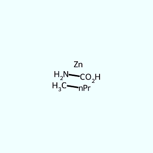 CCCC.NC(=O)O.[Zn]